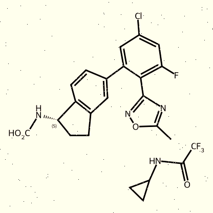 Cc1nc(-c2c(F)cc(Cl)cc2-c2ccc3c(c2)CC[C@@H]3NC(=O)O)no1.O=C(NC1CC1)C(F)(F)F